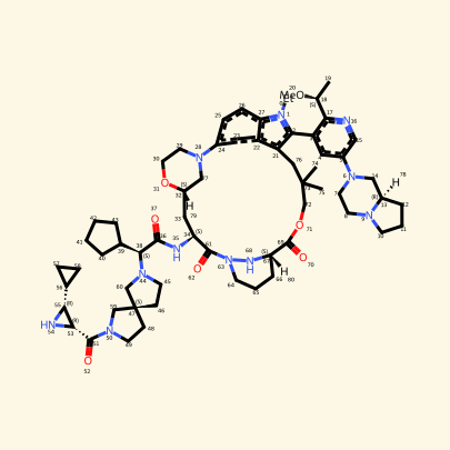 CCn1c(-c2cc(N3CCN4CCC[C@@H]4C3)cnc2[C@H](C)OC)c2c3cc(ccc31)N1CCO[C@@H](C[C@H](NC(=O)[C@H](C3CCCC3)N3CC[C@]4(CCN(C(=O)[C@@H]5N[C@@H]5C5CC5)C4)C3)C(=O)N3CCC[C@H](N3)C(=O)OCC(C)(C)C2)C1